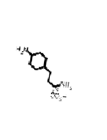 NC1CCC(CC[C@H](N)C(=O)O)CC1